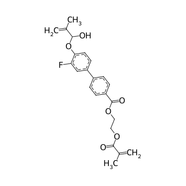 C=C(C)C(=O)OCCOC(=O)c1ccc(-c2ccc(OC(O)C(=C)C)c(F)c2)cc1